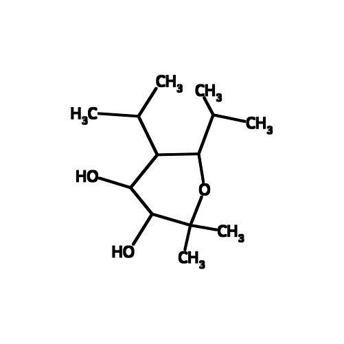 CC(C)C1OC(C)(C)C(O)C(O)C1C(C)C